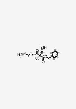 CCC(CC)(C(=O)OCCCN)C(=O)OCc1ccccc1.Cl